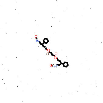 O=C=NCCC(CCCOC(=O)/C=C/C(=O)OCCCC(CCN=C=O)C1CCCCC1)C1CCCCC1